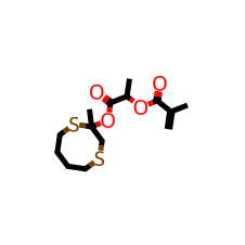 C=C(C)C(=O)OC(C)C(=O)OC1(C)CSCCCCS1